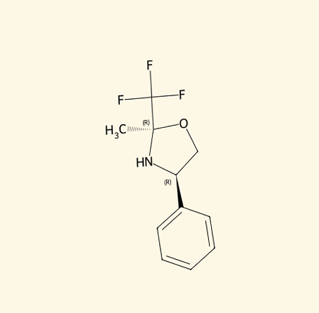 C[C@@]1(C(F)(F)F)N[C@H](c2ccccc2)CO1